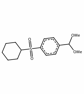 COC(OC)c1ccc(S(=O)(=O)C2CCCCC2)cc1